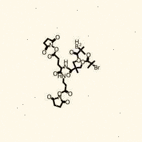 BC(C)(C)C(=O)OCC(C)(COC(=O)C(C)(C)Br)C(=O)NC(CCC(=O)ON1C(=O)CCC1=O)C(=O)NCCC(=O)ON1C(=O)CCC1=O